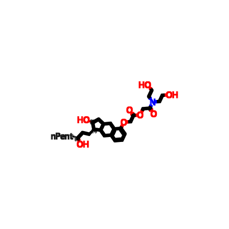 CCCCC[C@@H](O)CC[C@@H]1C2Cc3cccc(OCC(=O)OCC(=O)N(CCO)CCO)c3CC2C[C@H]1O